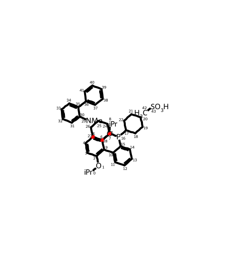 CC(C)Oc1cccc(OC(C)C)c1-c1ccccc1P(C1CCCCC1)C1CCCCC1.CNc1ccccc1-c1ccccc1.CS(=O)(=O)O